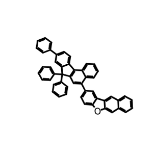 c1ccc(-c2ccc3c(c2)C(c2ccccc2)(c2ccccc2)c2cc(-c4ccc5oc6cc7ccccc7cc6c5c4)c4ccccc4c2-3)cc1